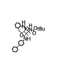 CC(C)(C)OC(=O)NC(C)(C)C(C)(C(=O)Nc1ccc(-c2ccccc2)cc1)[C@H]1CCc2ccccc2NC1=O